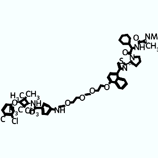 CN[C@@H](C)C(=O)NC(C(=O)N1CCC[C@H]1c1nc(-c2ccc(OCCOCCOCCOCCNc3ccc(C(=O)N[C@H]4C(C)(C)[C@H](Oc5ccc(C#N)c(Cl)c5)C4(C)C)cc3)c3ccccc23)cs1)C1CCCCC1